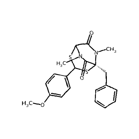 COc1ccc(C2SC3C(=O)N(C)[C@@](Cc4ccccc4)(S2)C(=O)N3C)cc1